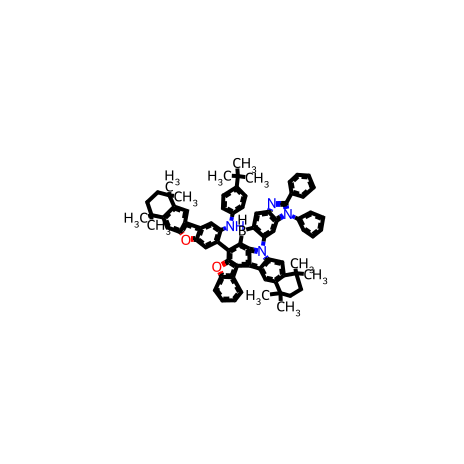 CC(C)(C)c1ccc(Nc2cc3c(cc2-c2c4c5c(c6cc7c(cc6n5-c5cc6c(cc5B4)nc(-c4ccccc4)n6-c4ccccc4)C(C)(C)CCC7(C)C)c4c2oc2ccccc24)oc2cc4c(cc23)C(C)(C)CCC4(C)C)cc1